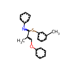 CC(=C\Oc1ccccc1)/C(=N/c1ccccc1)Sc1cccc(C)c1